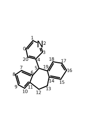 c1cncc(C2c3ccccc3CCc3ccccc32)c1